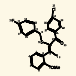 COc1ccccc1C(I)=C(SCc1ccc(F)cc1)C(=O)c1ccc(Cl)cc1